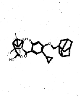 C[C@]12C3[C@@H](C(=O)O)N(C(=O)c4cc(C5CC5)c(OCC56CC7CC(CC(C7)C5)C6)cc4F)[C@H]1[C@@H]32